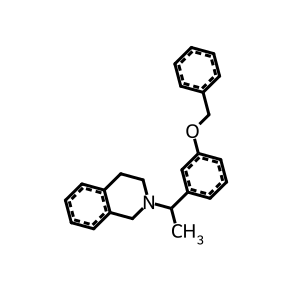 CC(c1cccc(OCc2ccccc2)c1)N1CCc2ccccc2C1